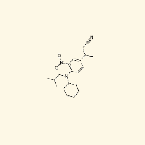 CC(C)CN(c1ccc([C@H](C)CC#N)cc1[N+](=O)[O-])C1CCCCC1